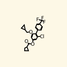 O=C(Oc1cc(Cl)c(-c2ccc(C(F)(F)F)cc2)c(OCC2CC2)c1)C1CCC1